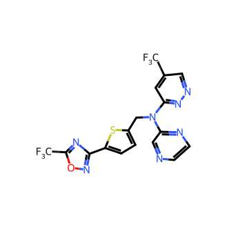 FC(F)(F)c1cnnc(N(Cc2ccc(-c3noc(C(F)(F)F)n3)s2)c2cnccn2)c1